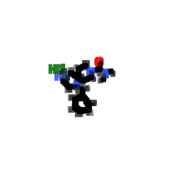 CN(C)C(=O)N1CCC2(CC1)CNCCN2Cc1ccccc1.Cl